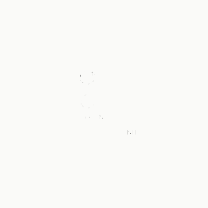 CNC1CCC(NCc2cc(-c3cncc(F)c3)ccc2OC)CC1